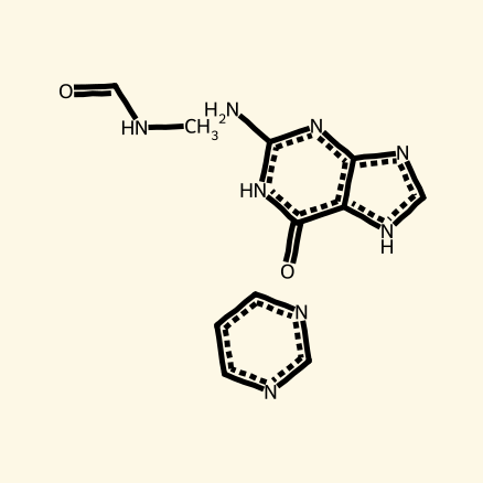 CNC=O.Nc1nc2nc[nH]c2c(=O)[nH]1.c1cncnc1